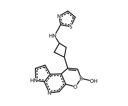 OB1C=C(C2CC(Nc3nccs3)C2)c2c(cnc3[nH]ccc23)O1